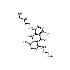 CNCCNc1ccc(O)c2c1C(=O)c1c(O)ccc(NCCNC=N)c1C2=O